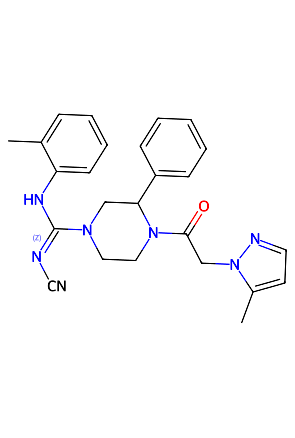 Cc1ccccc1N/C(=N/C#N)N1CCN(C(=O)Cn2nccc2C)C(c2ccccc2)C1